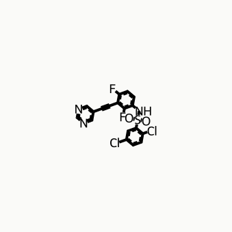 O=S(=O)(Nc1ccc(F)c(C#Cc2cncnc2)c1F)c1cc(Cl)ccc1Cl